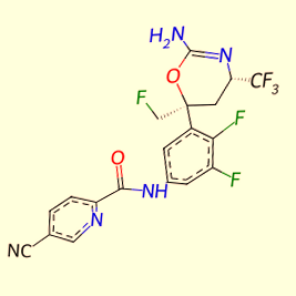 N#Cc1ccc(C(=O)Nc2cc(F)c(F)c([C@]3(CF)C[C@@H](C(F)(F)F)N=C(N)O3)c2)nc1